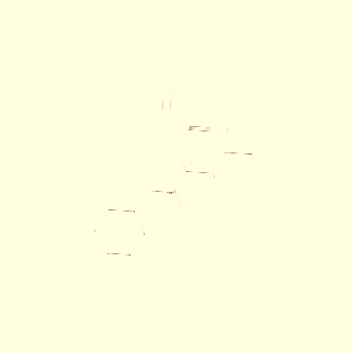 CC(C)CCC(CC(=O)O)C(=O)OC1CCCCC1